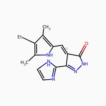 CCc1c(C)[nH]c(/C=C2/C(=O)NN=C2c2ncc[nH]2)c1C